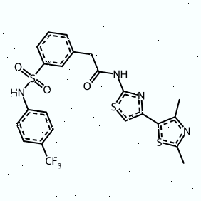 Cc1nc(C)c(-c2csc(NC(=O)Cc3cccc(S(=O)(=O)Nc4ccc(C(F)(F)F)cc4)c3)n2)s1